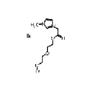 CCOCCOCCOC(=O)C[n+]1ccn(C)c1.[Br-]